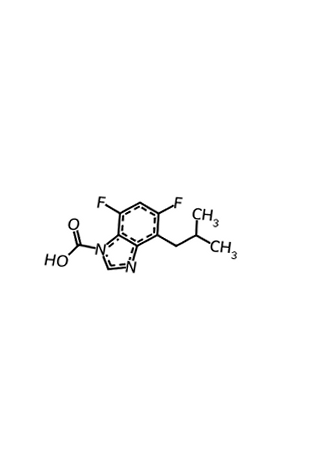 CC(C)Cc1c(F)cc(F)c2c1ncn2C(=O)O